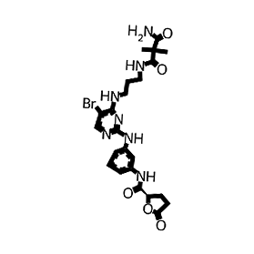 CC(C)(C(N)=O)C(=O)NCCCNc1nc(Nc2cccc(NC(=O)[C@H]3CCC(=O)O3)c2)ncc1Br